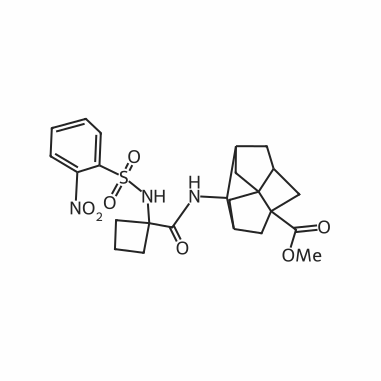 COC(=O)C12CC3CC14CC(CC4C2)C3NC(=O)C1(NS(=O)(=O)c2ccccc2[N+](=O)[O-])CCC1